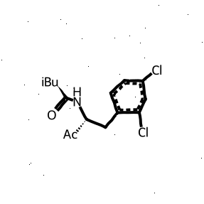 CC[C@H](C)C(=O)N[C@H](Cc1ccc(Cl)cc1Cl)C(C)=O